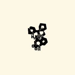 NC1=NS(=O)(=O)Nc2cccc(OC[C@H]3CCCCN3C(O)c3ccncn3)c21